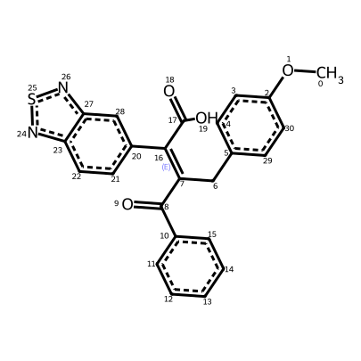 COc1ccc(C/C(C(=O)c2ccccc2)=C(\C(=O)O)c2ccc3nsnc3c2)cc1